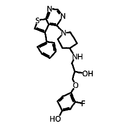 Oc1ccc(OCC(O)CNC2CCN(c3ncnc4scc(-c5ccccc5)c34)CC2)c(F)c1